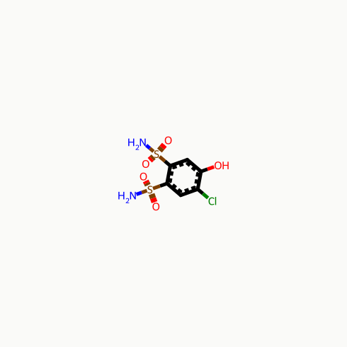 NS(=O)(=O)c1cc(O)c(Cl)cc1S(N)(=O)=O